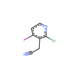 N#CCc1c(I)ccnc1Cl